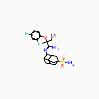 CC(CC#N)(Oc1ccc(F)cc1F)C(N)=NC1C2CC3CC1CC(S(N)(=O)=O)(C3)C2